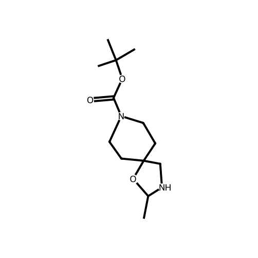 CC1NCC2(CCN(C(=O)OC(C)(C)C)CC2)O1